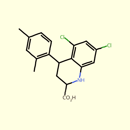 Cc1ccc(C2CC(C(=O)O)Nc3cc(Cl)cc(Cl)c32)c(C)c1